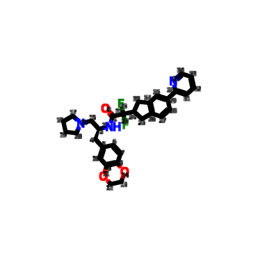 O=C(N[C@@H](Cc1ccc2c(c1)OCCO2)CN1CCCC1)C(F)(F)C1Cc2ccc(-c3ccccn3)cc2C1